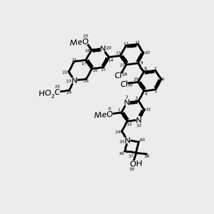 COc1nc(-c2cccc(-c3cccc(-c4cc5c(c(OC)n4)CCN(CC(=O)O)C5)c3Cl)c2Cl)cnc1CN1CC(C)(O)C1